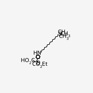 CCOC(=O)C(C(=O)O)C(=O)c1ccc(NCCCCCCCCCCCCCC[Si](C)(C)C)cc1